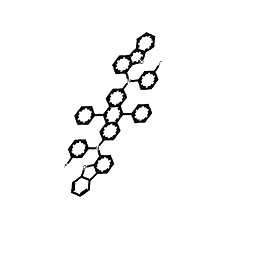 Fc1cccc(N(c2ccc3c(-c4ccccc4)c4cc(N(c5cccc(F)c5)c5cccc6c5oc5ccccc56)ccc4c(-c4ccccc4)c3c2)c2cccc3c2OC2C=CC=CC32)c1